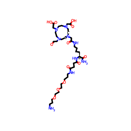 NCCCOCCOCCOCCCNC(=O)CCC(=O)N[C@@H](CCCCNC(=O)CN1CCN(CC=O)CCN(CC(=O)O)CCN(CC(=O)O)CC1)C(N)=O